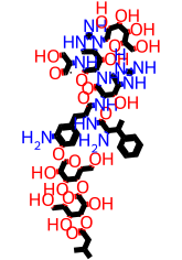 CC(C)CC(=O)OC1C(O)C(CO)OC(OC2C(CO)OC(Oc3ccc(CC(NC(=O)C(N)C(C)c4ccccc4)C(=O)NC(C(=O)NC(C(=O)NC([C]=O)CO)C(O)C4CNC(=N)N4C4OC(CO)C(O)C(O)C4O)C(O)C4CNC(=N)N4)cc3N)C(O)C2O)C1O